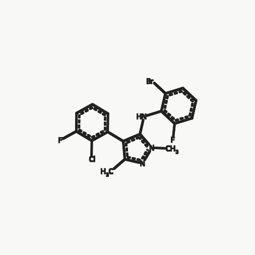 Cc1nn(C)c(Nc2c(F)cccc2Br)c1-c1cccc(F)c1Cl